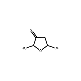 OC1CC(=S)C(O)O1